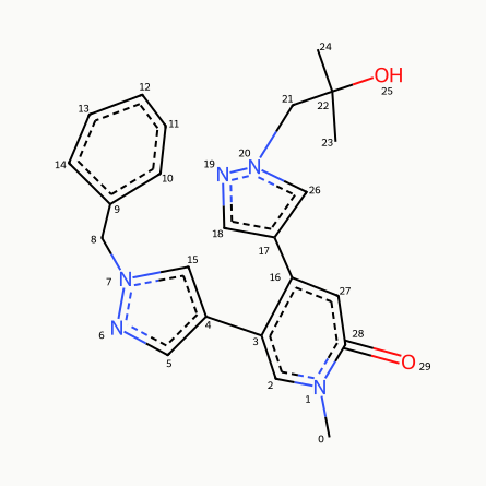 Cn1cc(-c2cnn(Cc3ccccc3)c2)c(-c2cnn(CC(C)(C)O)c2)cc1=O